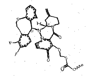 C=C1CCN2C(=O)c3c(OCOC(=O)OC)c(=O)ccn3N([C@@H]3c4ccccc4SCc4c3ccc(F)c4F)[C@@H]2C1